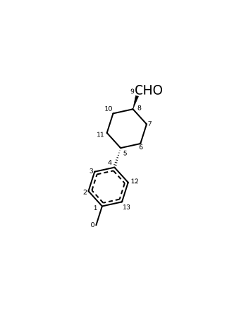 Cc1ccc([C@H]2CC[C@H](C=O)CC2)cc1